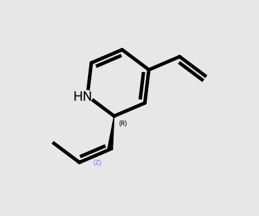 C=CC1=C[C@@H](/C=C\C)NC=C1